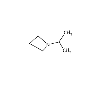 C[C](C)N1CCC1